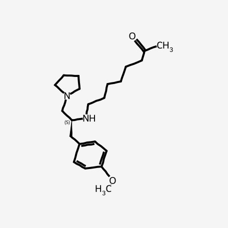 COc1ccc(C[C@@H](CN2CCCC2)NCCCCCCC(C)=O)cc1